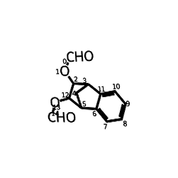 O=COC1C2CC(c3ccccc32)C1OC=O